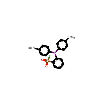 COc1ccc(P(c2ccc(OC)cc2)c2ccccc2S(=O)(=O)F)cc1